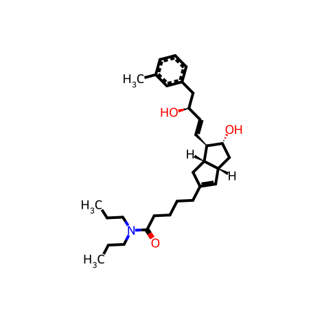 CCCN(CCC)C(=O)CCCCC1=C[C@H]2C[C@@H](O)[C@H](/C=C/[C@@H](O)Cc3cccc(C)c3)[C@H]2C1